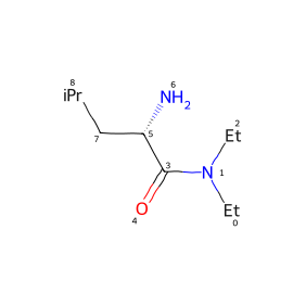 CCN(CC)C(=O)[C@@H](N)CC(C)C